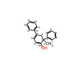 CC1(c2ccccc2)CC(c2ccccc2)=CC=C1O